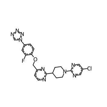 Fc1cc(-n2cnnn2)ccc1OCc1ccnc(C2CCN(c3ncc(Cl)cn3)CC2)n1